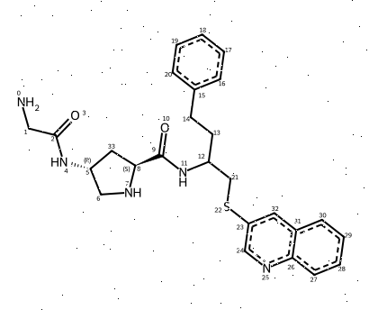 NCC(=O)N[C@H]1CN[C@H](C(=O)NC(CCc2ccccc2)CSc2cnc3ccccc3c2)C1